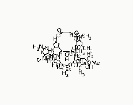 CC[C@H]1OC(=O)[C@H](C)[C@@H](O[C@H]2C[C@@](C)(OC)[C@@H](O)[C@H](C)O2)[C@H](C)[C@H]2O[C@@H]3O[C@H](C)CC(N(C)C)[C@H]3OC(=O)CCCC(=O)OC[C@@H]3C=C([C@@H](CN(C)[C@H](C)[C@@H](O)[C@]1(C)O)C[C@@]2(C)O)[C@H](n1cnc2c(NC4CC4)nc(N)nc21)C3